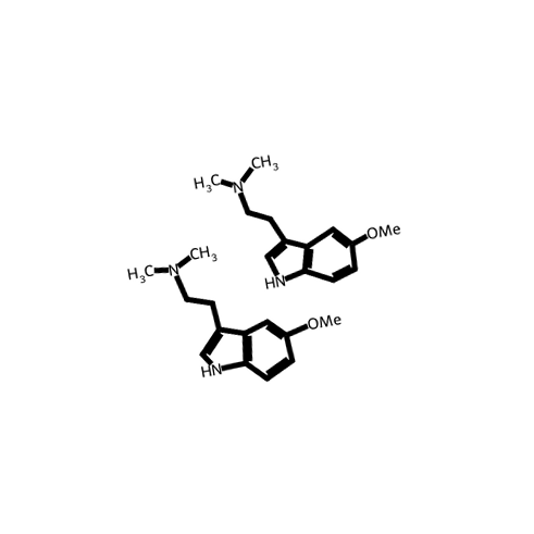 COc1ccc2[nH]cc(CCN(C)C)c2c1.COc1ccc2[nH]cc(CCN(C)C)c2c1